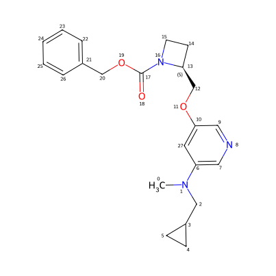 CN(CC1CC1)c1cncc(OC[C@@H]2CCN2C(=O)OCc2ccccc2)c1